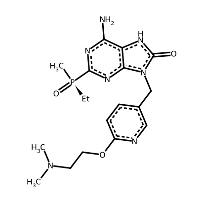 CC[P@](C)(=O)c1nc(N)c2[nH]c(=O)n(Cc3ccc(OCCN(C)C)nc3)c2n1